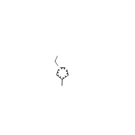 [CH2]Cn1cc(Cl)cn1